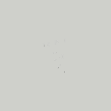 CC(C)=C(C)[SiH2]O[SiH2]O[SiH2]O[SiH3]